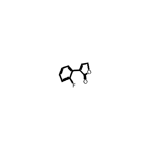 O=C1OCC=C1c1ccccc1F